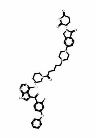 O=C1CC[C@H](N2Cc3cc(N4CCN(CCCCC(=O)N5CCC[C@@H](Nc6ncnc7[nH]cc(C(=O)c8ccc(Oc9ccccc9)cc8Cl)c67)C5)CC4)ccc3C2=O)C(=O)N1